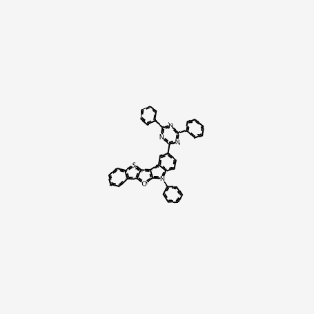 c1ccc(-c2nc(-c3ccccc3)nc(-c3ccc4c(c3)c3c5sc6ccccc6c5oc3n4-c3ccccc3)n2)cc1